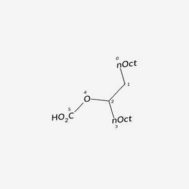 CCCCCCCCCC(CCCCCCCC)OC(=O)O